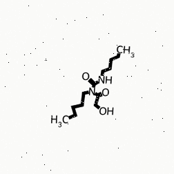 CCCCCNC(=O)N(CCCCC)C(=O)CO